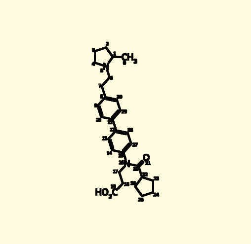 CC1CCCN1CCc1ccc(-c2ccc(N(CCC(=O)O)C(=O)C3CCCC3)cc2)cc1